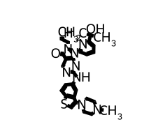 C=CCn1c(=O)c2cnc(Nc3ccc4scc(N5CCN(C)CC5)c4c3)nc2n1-c1cccc(C(C)(C)O)n1